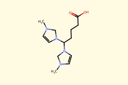 CN1C=CN(C(CCCC(=O)O)N2C=CN(C)C2)C1